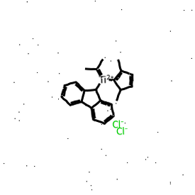 CC1=[C]([Ti+2](=[C](C)C)[CH]2c3ccccc3-c3ccccc32)C(C)C=C1.[Cl-].[Cl-]